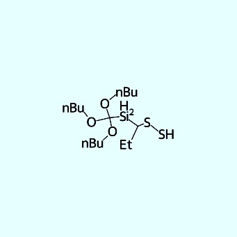 CCCCOC(OCCCC)(OCCCC)[SiH2]C(CC)SS